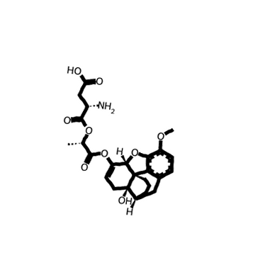 COc1ccc2c3c1O[C@H]1C(OC(=O)[C@H](C)OC(=O)[C@@H](N)CC(=O)O)=CC[C@@]4(O)[C@H](CCC[C@]314)C2